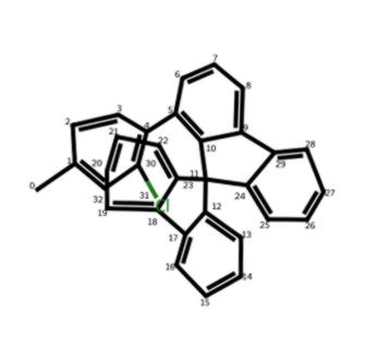 Cc1ccc(-c2cccc3c2C2(c4ccccc4-c4ccccc42)c2ccccc2-3)c(Cl)c1